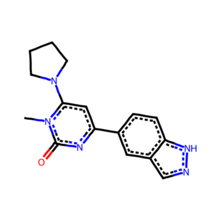 Cn1c(N2CCCC2)cc(-c2ccc3[nH]ncc3c2)nc1=O